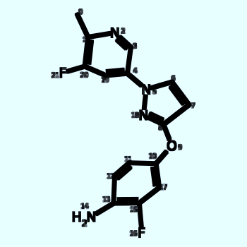 Cc1ncc(-n2ccc(Oc3ccc(N)c(F)c3)n2)cc1F